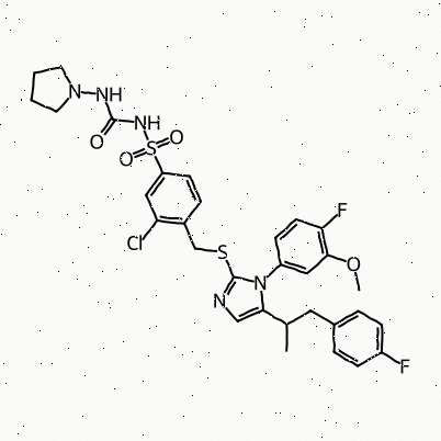 COc1cc(-n2c(C(C)Cc3ccc(F)cc3)cnc2SCc2ccc(S(=O)(=O)NC(=O)NN3CCCC3)cc2Cl)ccc1F